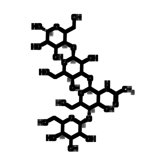 CC(=O)NC1C(O)[C@H](O[C@@H]2OC(CO)[C@H](O)C(O)C2O)C(CO)O[C@H]1OC1C(O)[C@H](O[C@@H]2C(CO)O[C@@H](O)C(O)C2O)OC(CO)[C@@H]1O